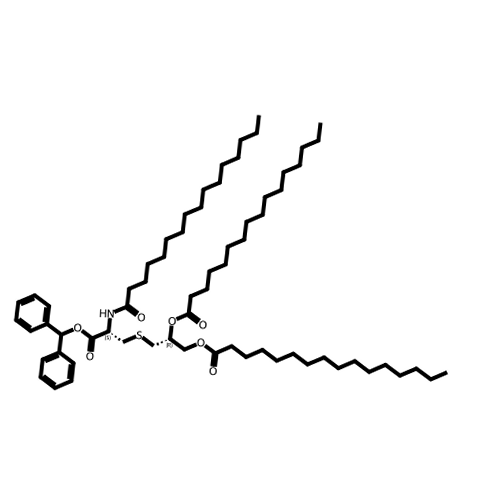 CCCCCCCCCCCCCCCC(=O)N[C@H](CSC[C@@H](COC(=O)CCCCCCCCCCCCCCC)OC(=O)CCCCCCCCCCCCCCC)C(=O)OC(c1ccccc1)c1ccccc1